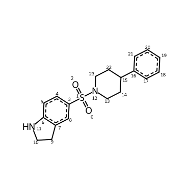 O=S(=O)(c1ccc2c(c1)CCN2)N1CCC(c2ccccc2)CC1